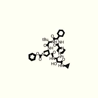 CCC[C@H](NC(=O)[C@@H]1CN(C(=O)Oc2ccccc2)C[C@@H]1NC(=O)[C@@H](NC(=O)[C@@H](NC(=O)c1cnccn1)C1CCCCC1)C(C)(C)C)C(O)C(=O)NC1CC1